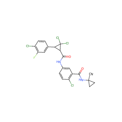 N#CC1(NC(=O)c2cc(NC(=O)C3C(c4ccc(Cl)c(F)c4)C3(Cl)Cl)ccc2Cl)CC1